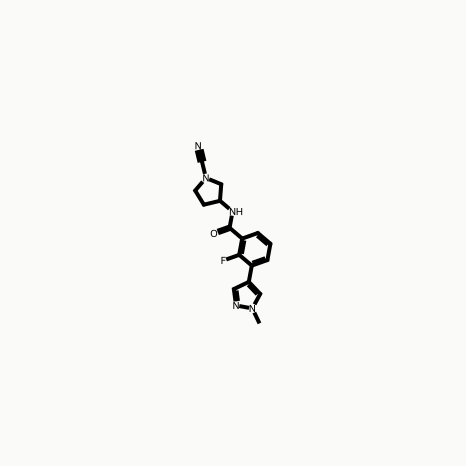 Cn1cc(-c2cccc(C(=O)NC3CCN(C#N)C3)c2F)cn1